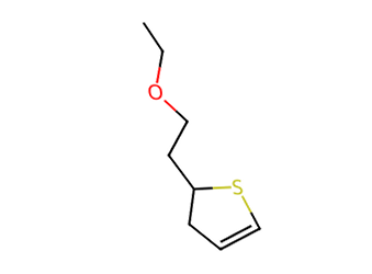 CCOCCC1CC=CS1